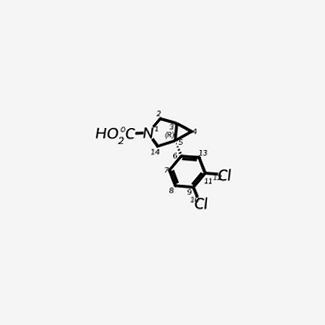 O=C(O)N1CC2C[C@@]2(c2ccc(Cl)c(Cl)c2)C1